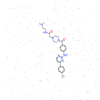 CN(C)CCNC(=O)CN1CCN(C(=O)c2ccc(Nc3nccc(-c4ccc(Cl)cc4)n3)cc2)CC1